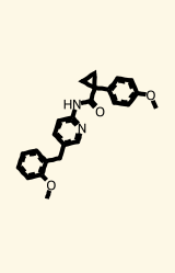 COc1ccc(C2(C(=O)Nc3ccc(Cc4ccccc4OC)cn3)CC2)cc1